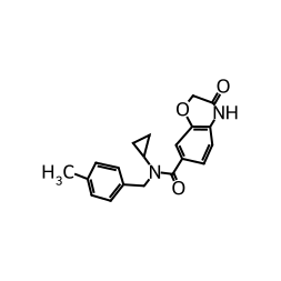 Cc1ccc(CN(C(=O)c2ccc3c(c2)OCC(=O)N3)C2CC2)cc1